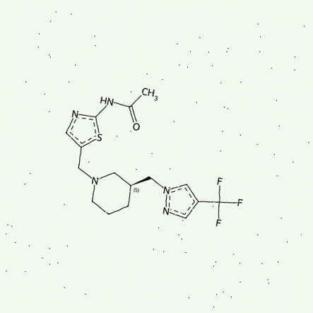 CC(=O)Nc1ncc(CN2CCC[C@H](Cn3cc(C(F)(F)F)cn3)C2)s1